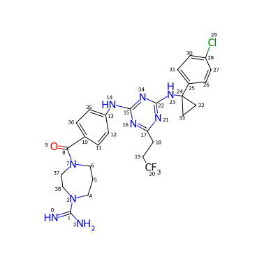 N=C(N)N1CCCN(C(=O)c2ccc(Nc3nc(CCC(F)(F)F)nc(NC4(c5ccc(Cl)cc5)CC4)n3)cc2)CC1